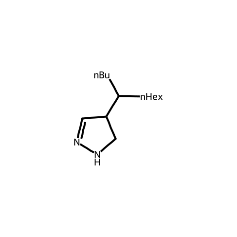 CCCCCCC(CCCC)C1C=NNC1